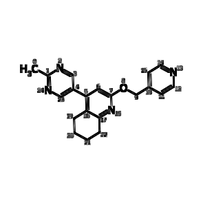 Cc1ncc(-c2cc(OCc3ccncc3)nc3c2CCCC3)cn1